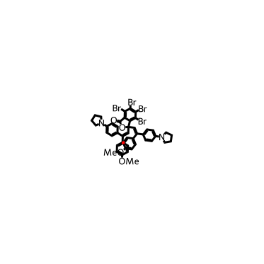 COc1ccc(C(=CC2(C=C(c3ccc(OC)cc3)c3ccc(N4CCCC4)cc3)OC(=O)c3c(Br)c(Br)c(Br)c(Br)c32)c2ccc(N3CCCC3)cc2)cc1